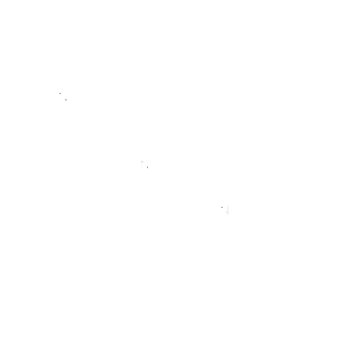 O=c1cc(CCc2ccc(F)cn2)ccn1-c1ccc2c3c(sc2c1)CNCC3